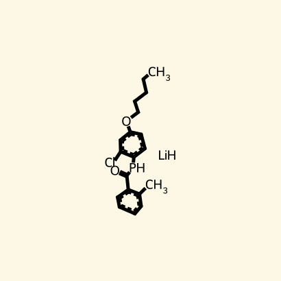 CCCCCOc1ccc(PC(=O)c2ccccc2C)c(Cl)c1.[LiH]